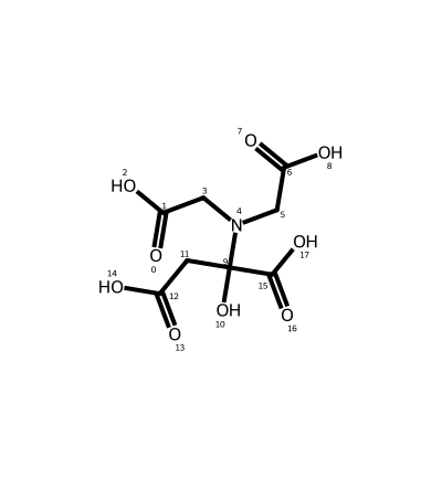 O=C(O)CN(CC(=O)O)C(O)(CC(=O)O)C(=O)O